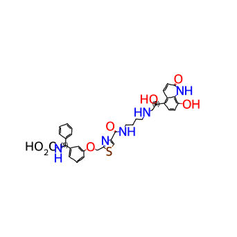 O=C(O)N[C@@H](c1ccccc1)c1cccc(OCc2nc(C(=O)NCCCCNC[C@H](O)c3ccc(O)c4[nH]c(=O)ccc34)cs2)c1